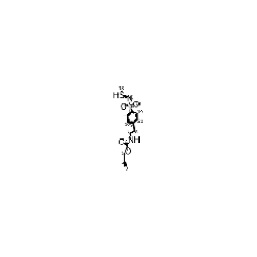 C#CCOC(=O)NCCc1ccc(S(=O)(=O)N=[SH]C)cc1